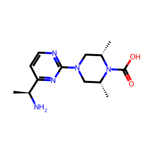 C[C@H](N)c1ccnc(N2C[C@@H](C)N(C(=O)O)[C@@H](C)C2)n1